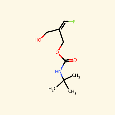 CC(C)(C)NC(=O)OC/C(=C\F)CO